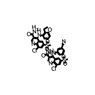 CS(=O)(=O)c1cc(Cl)c2ncc(C(N)=O)c(Nc3cccc(C#N)c3)c2c1.CS(=O)(=O)c1cc(Cl)c2ncc(C(N)=O)c(Nc3cccc4c3CCO4)c2c1